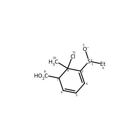 CC[S+]([O-])C1=CC=CC(C(=O)O)C1(C)Cl